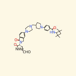 CNC(=O)[C@H](CCC=O)N1Cc2cc(N3CCN(CC4CCN(c5ccc(C(=O)NC6C(C)(C)CC6(C)C)cc5)CC4)CC3)ccc2C1=O